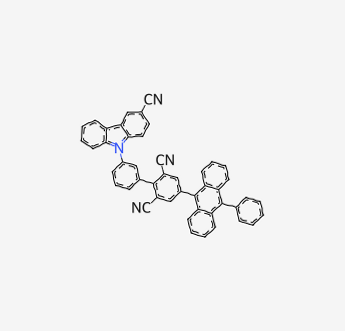 N#Cc1ccc2c(c1)c1ccccc1n2-c1cccc(-c2c(C#N)cc(-c3c4ccccc4c(-c4ccccc4)c4ccccc34)cc2C#N)c1